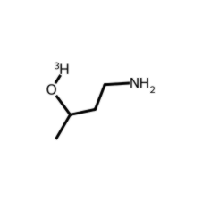 [3H]OC(C)CCN